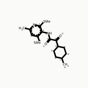 CSc1cc(C)nc(SC)c1NC(=O)C(=O)C1CCC(C)CC1